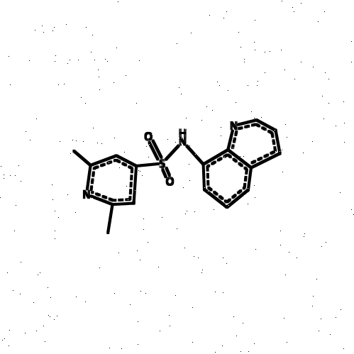 Cc1cc(S(=O)(=O)Nc2cccc3cccnc23)cc(C)n1